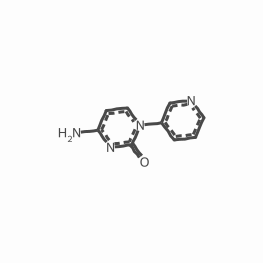 Nc1ccn(-c2cccnc2)c(=O)n1